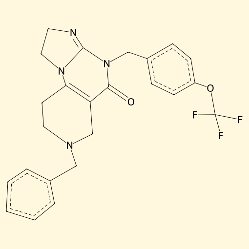 O=C1C2=C(CCN(Cc3ccccc3)C2)N2CCN=C2N1Cc1ccc(OC(F)(F)F)cc1